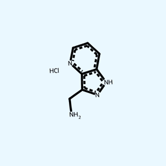 Cl.NCc1n[nH]c2cccnc12